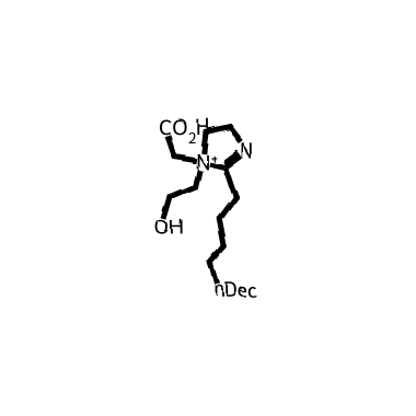 CCCCCCCCCCCCCCC1=NCC[N+]1(CCO)CC(=O)O